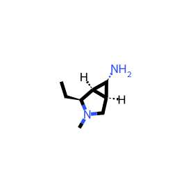 CC[C@H]1[C@H]2[C@H](N)[C@H]2CN1C